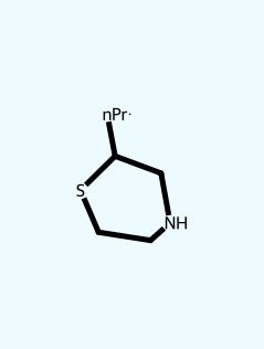 CC[CH]C1CNCCS1